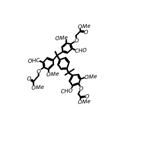 COC(=O)COc1c(C=O)cc(C(C)(C)c2ccc(C(C)(c3cc(C=O)c(OCC(=O)OC)c(OC)c3)c3cc(C=O)c(OCC(=O)OC)c(OC)c3)cc2)cc1OC